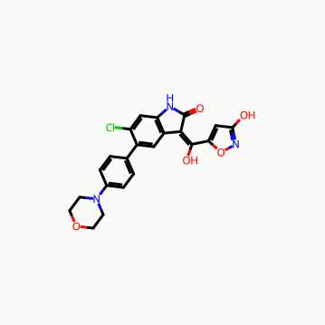 O=C1Nc2cc(Cl)c(-c3ccc(N4CCOCC4)cc3)cc2C1=C(O)c1cc(O)no1